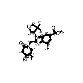 COC(=O)c1cc(F)c2nc(Cn3cc(F)c(Br)cc3=O)n([C@H]3COCC3(C)C)c2c1